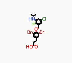 CC(C)Nc1cc(Cl)cc(COc2c(Br)cc(CCC(=O)O)cc2Br)c1F